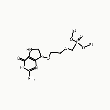 CCOP(=O)(CSCCON1CNc2c1nc(N)[nH]c2=O)OCC